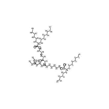 CCCCCCCCC(CCCCCC)C(=O)OCCCCCCN(CCCN(CC)CC)CC(O)CSCCOC(=O)C(CCCCCC)CCCCCCCC